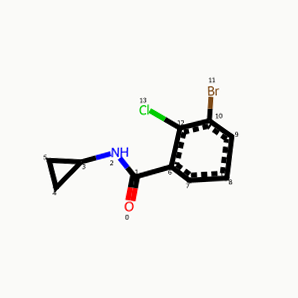 O=C(NC1CC1)c1cccc(Br)c1Cl